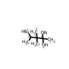 CCCCC(C)C(C)(C)C(C)(O)O